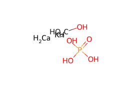 O=C(O)O.O=P(O)(O)O.[CaH2].[KH]